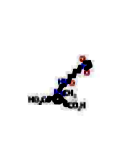 Cn1c(CCNC(=O)CCCCCN2C(=O)C=CC2=O)nc2c(/C=C/C(=O)O)ccc(/C=C/C(=O)O)c21